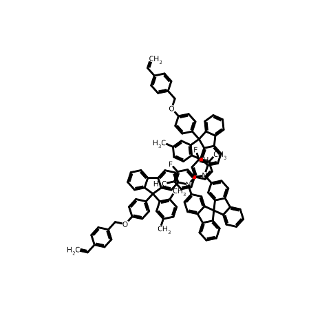 C=Cc1ccc(COc2ccc(C3(c4cc(C)ccc4C)c4ccccc4-c4ccc(N(c5ccc(C)c(F)c5)c5ccc6c(c5)C5(c7ccccc7-6)c6ccccc6-c6ccc(N(c7ccc(C)c(F)c7)c7ccc8c(c7)C(c7ccc(OCc9ccc(C=C)cc9)cc7)(c7cc(C)ccc7C)c7ccccc7-8)cc65)cc43)cc2)cc1